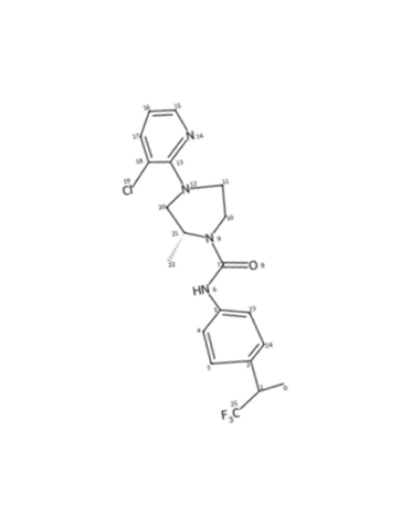 CC(c1ccc(NC(=O)N2CCN(c3ncccc3Cl)C[C@H]2C)cc1)C(F)(F)F